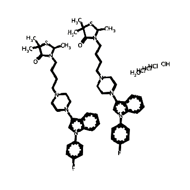 CC1SC(C)(C)C(=O)N1CCCCN1CCN(c2cn(-c3ccc(F)cc3)c3ccccc23)CC1.CC1SC(C)(C)C(=O)N1CCCCN1CCN(c2cn(-c3ccc(F)cc3)c3ccccc23)CC1.Cl.Cl.Cl.Cl.O